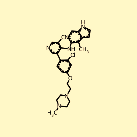 Cc1c(Nc2c(C#N)cncc2-c2ccc(OCCN3CCN(C)CC3)cc2Cl)ccc2[nH]ccc12